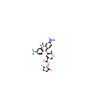 Cc1ncc(C(=O)ON2C(=O)CCC2=O)cc1C1=C2C=CC(=[N+](C)C)C=C2[Si](C)(C)c2cc(N(C)C)ccc21